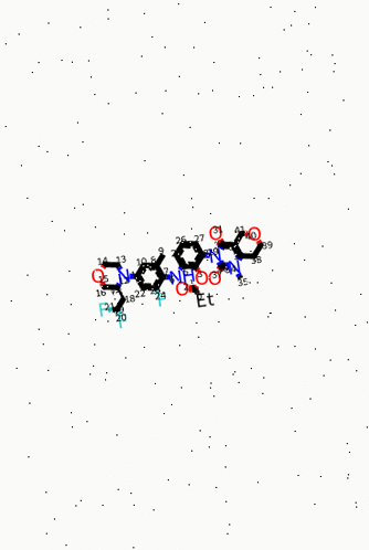 CCC(=O)Oc1c(Nc2c(C)cc(N3CCOC[C@@H]3CC(F)F)cc2F)cccc1-n1c(=O)c2c(n(C)c1=O)CCOC2